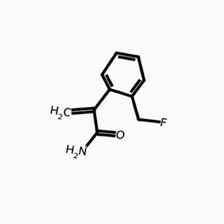 C=C(C(N)=O)c1ccccc1CF